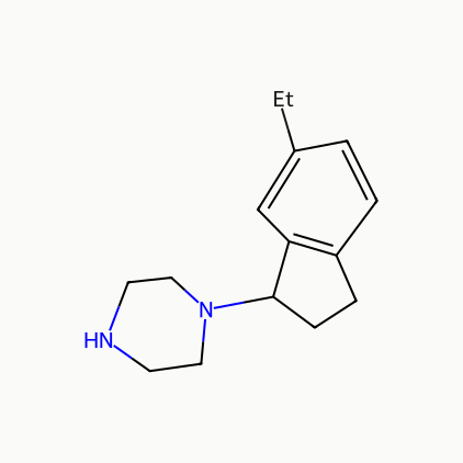 CCc1ccc2c(c1)C(N1CCNCC1)CC2